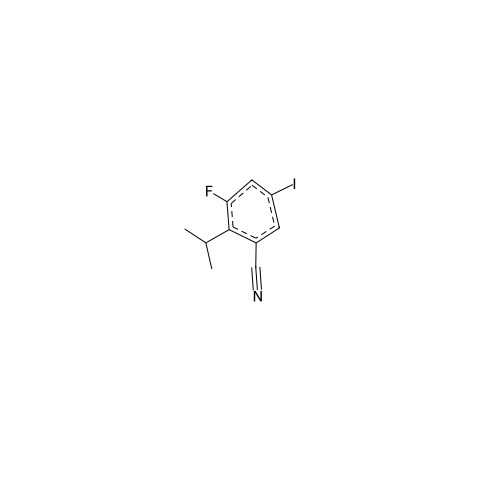 CC(C)c1c(F)cc(I)cc1C#N